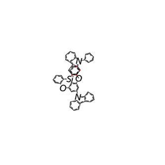 c1ccc(-n2c3ccccc3c3cc([Si]45c6ccccc6Oc6cc(-n7c8ccccc8c8ccccc87)cc(c64)Oc4ccccc45)ccc32)cc1